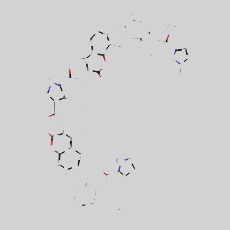 COC1C(OC(=O)c2ccc(C)[nH]2)C(O)C(Oc2ccc3c(O)c(NC(=O)c4c[nH]c(C(=O)Nc5c(O)c6ccc(OC7OC(C)(C)C(OC)(OC(=O)c8ccc(C)[nH]8)CC7O)c(C)c6oc5=O)c4C)c(=O)oc3c2C)OC1(C)C